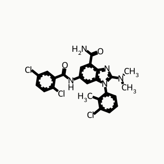 Cc1c(Cl)cccc1-n1c(N(C)C)nc2c(C(N)=O)cc(NC(=O)c3cc(Cl)ccc3Cl)cc21